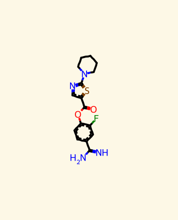 N=C(N)c1ccc(OC(=O)c2cnc(N3CCCCC3)s2)c(F)c1